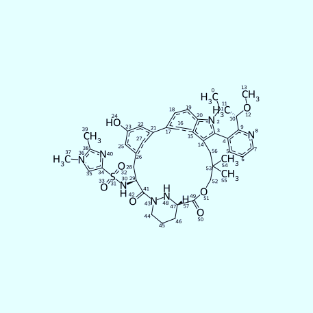 CCn1c(-c2cccnc2[C@H](C)OC)c2c3cc(ccc31)-c1cc(O)cc(c1)C[C@H](NS(=O)(=O)c1cn(C)c(C)n1)C(=O)N1CCC[C@H](N1)C(=O)OCC(C)(C)C2